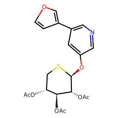 CC(=O)O[C@@H]1[C@@H](OC(C)=O)[C@H](OC(C)=O)CS[C@H]1Oc1cncc(-c2ccoc2)c1